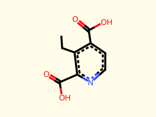 CCc1c(C(=O)O)ccnc1C(=O)O